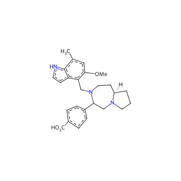 COc1cc(C)c2[nH]ccc2c1CN1CC[C@H]2CCCN2CC1c1ccc(C(=O)O)cc1